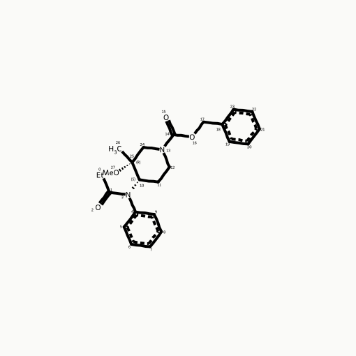 CCC(=O)N(c1ccccc1)[C@H]1CCN(C(=O)OCc2ccccc2)C[C@@]1(C)OC